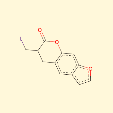 O=C1Oc2cc3occc3cc2CC1CI